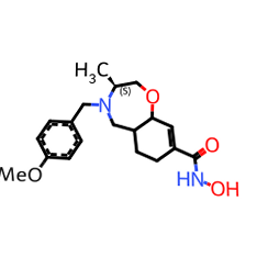 COc1ccc(CN2CC3CCC(C(=O)NO)=CC3OC[C@@H]2C)cc1